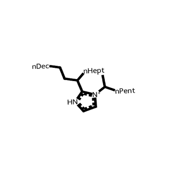 CCCCCCCCCCCCC(CCCCCCC)c1[nH]cc[n+]1C(C)CCCCC